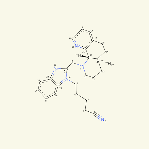 N#CCCCCn1c(CN2CCC[C@@H]3CCc4cccnc4[C@H]32)nc2ccccc21